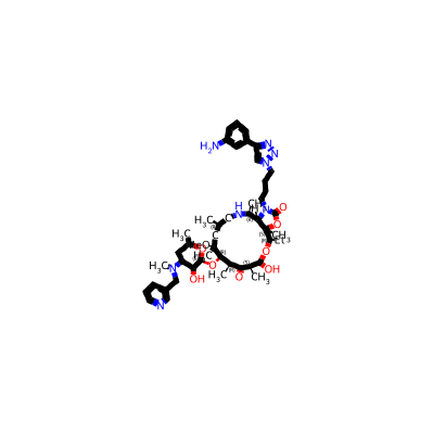 CC[C@H]1OC(O)[C@H](C)C(=O)[C@H](C)[C@@H](O[C@@H]2OC(C)CC(N(C)Cc3cccnc3)C2O)[C@](C)(OC)C[C@@H](C)CN[C@H](C)[C@H]2N(CCCCn3cc(-c4cccc(N)c4)nn3)C(=O)O[C@]12C